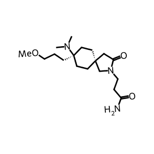 COCCC[C@]1(N(C)C)CC[C@]2(CC1)CC(=O)N(CCC(N)=O)C2